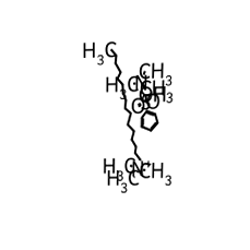 CCCCCCCCCCCCCCCC[N+](C)(C)C.CN(C)C.O=S(=O)(O)c1ccccc1